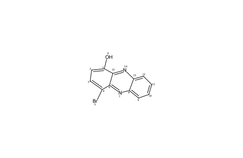 Oc1ccc(Br)c2nc3ccccc3nc12